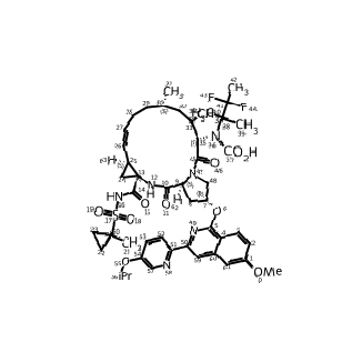 COc1ccc2c(O[C@@H]3C[C@H]4C(=O)N[C@]5(C(=O)NS(=O)(=O)C6(C)CC6)C[C@H]5C=CCC[C@H](C)C[C@@H](C)[C@H](N(C(=O)O)C(C)(C)C(C)(F)F)C(=O)N4C3)nc(-c3ccc(OC(C)C)cn3)cc2c1